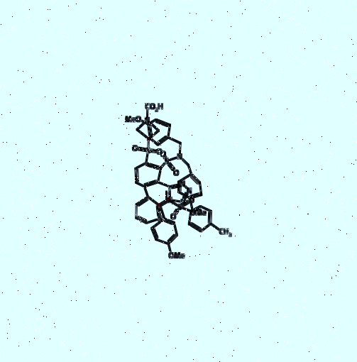 COc1ccc(CN(Cc2ccc(OC)cc2)S(=O)(=O)c2c(S(=O)(=O)C3CN(C(=O)O)C3)ccc(-c3cccnc3NS(=O)(=O)c3ccc(C)cc3)c2-c2nnnn2Cc2ccc(OC)cc2)cc1